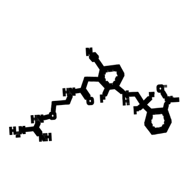 C[S+]([O-])c1ccccc1C(F)(F)CNc1ccc(C#N)c(CC(=O)NCCONC(=N)N)c1F